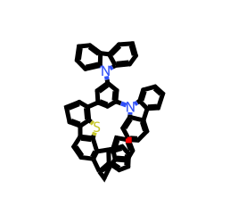 c1ccc(C23CC2c2ccccc2-c2c3ccc3c2sc2c(-c4cc(-n5c6ccccc6c6ccccc65)cc(-n5c6ccccc6c6ccccc65)c4)cccc23)cc1